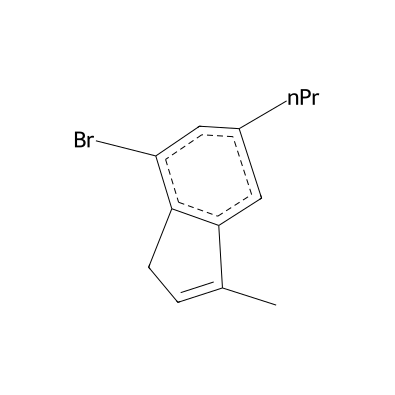 CCCc1cc(Br)c2c(c1)C(C)=CC2